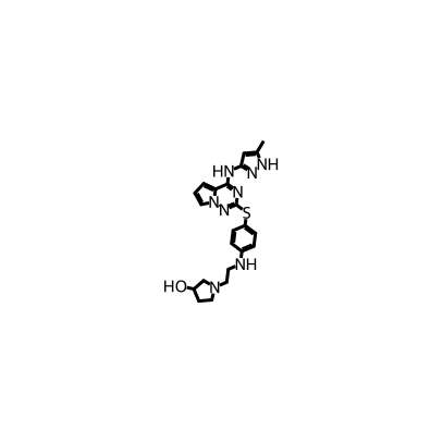 Cc1cc(Nc2nc(Sc3ccc(NCCN4CCC(O)C4)cc3)nn3cccc23)n[nH]1